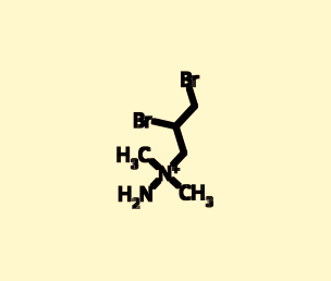 C[N+](C)(N)CC(Br)CBr